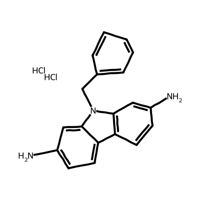 Cl.Cl.Nc1ccc2c3ccc(N)cc3n(Cc3ccccc3)c2c1